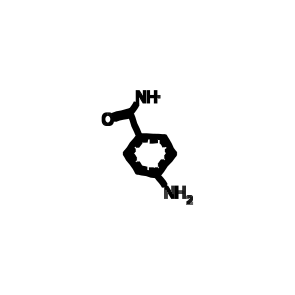 [NH]C(=O)c1ccc(N)cc1